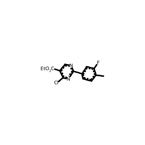 CCOC(=O)c1cnc(-c2ccc(C)c(F)c2)nc1Cl